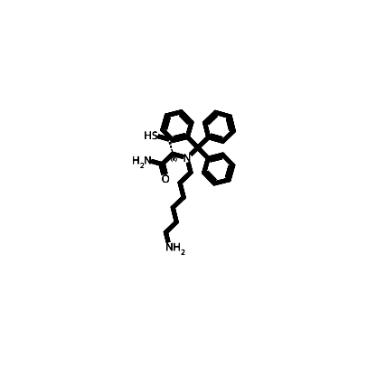 NCCCCCCN([C@@H](CS)C(N)=O)C(c1ccccc1)(c1ccccc1)c1ccccc1